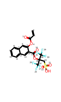 C=CC(=O)Oc1cc2ccccc2cc1C(=O)OC(CS(=O)(=O)O)(C(F)(F)F)C(F)(F)F